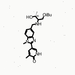 Cc1cc(-c2nc3cc(CNC(COCC(C)C)[C@@H](C)O)ccc3n2C)c[nH]c1=O